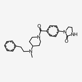 CN(CCc1ccccc1)C1CCN(C(=O)c2ccc(N3CCNC3=O)cc2)CC1